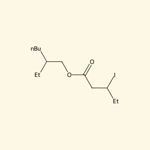 CCCCC(CC)COC(=O)CC(I)CC